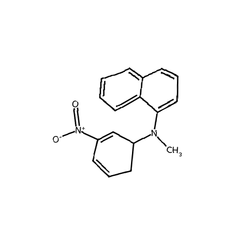 CN(c1cccc2ccccc12)C1C=C([N+](=O)[O-])C=CC1